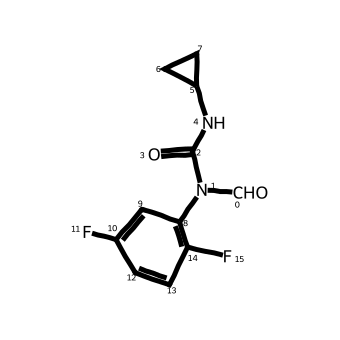 O=CN(C(=O)NC1CC1)c1cc(F)ccc1F